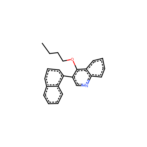 CCCCOc1c(-c2cccc3ccccc23)[c]nc2ccccc12